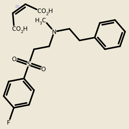 CN(CCc1ccccc1)CCS(=O)(=O)c1ccc(F)cc1.O=C(O)/C=C\C(=O)O